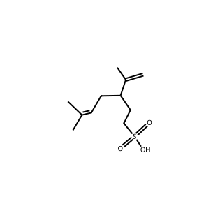 C=C(C)C(CC=C(C)C)CCS(=O)(=O)O